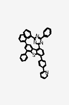 c1ccc(-c2cc(-c3ccccc3)c3sc4c(-c5ccc(-c6ccccn6)cc5)ccc(-c5nc(-c6ccccc6)nc(-c6ccccc6)n5)c4c3c2)cc1